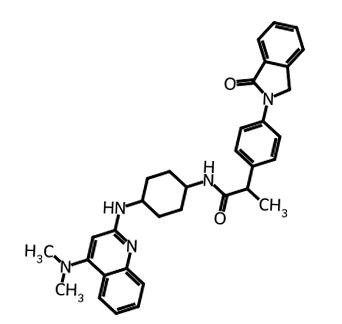 CC(C(=O)NC1CCC(Nc2cc(N(C)C)c3ccccc3n2)CC1)c1ccc(N2Cc3ccccc3C2=O)cc1